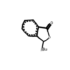 CCC[14CH2]C1OC(=O)c2ccccc21